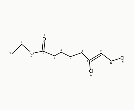 CCOC(=O)CCCCC(Cl)=CCCl